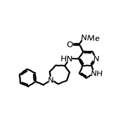 CNC(=O)c1cnc2[nH]ccc2c1NC1CCCN(Cc2ccccc2)CC1